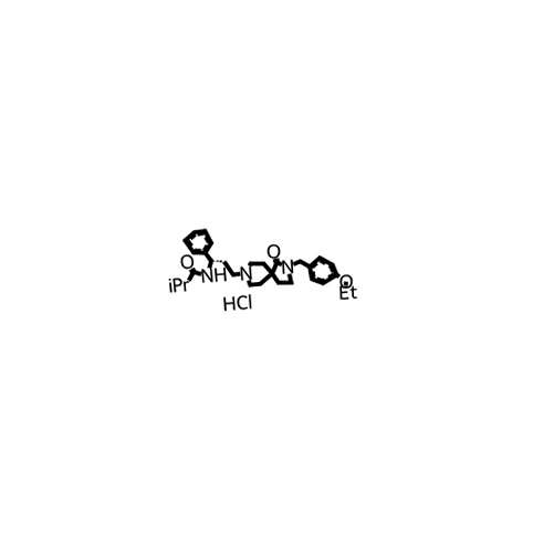 CCOc1ccc(CN2CCC3(CCN(CC[C@H](NC(=O)C(C)C)c4ccccc4)CC3)C2=O)cc1.Cl